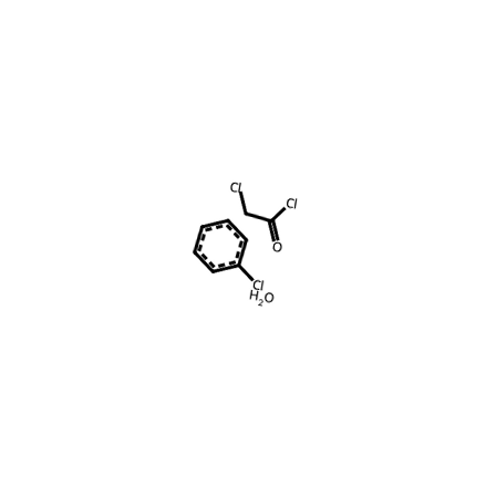 Clc1ccccc1.O.O=C(Cl)CCl